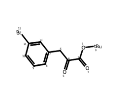 CC(C)(C)OC(=O)C(=O)Cc1cccc(Br)c1